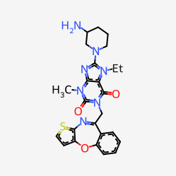 CCn1c(N2CCCC(N)C2)nc2c1c(=O)n(CC1=Nc3sccc3Oc3ccccc31)c(=O)n2C